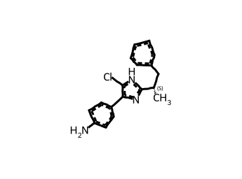 C[C@@H](Cc1ccccc1)c1nc(-c2ccc(N)cc2)c(Cl)[nH]1